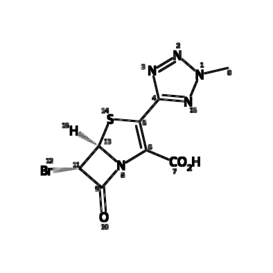 Cn1nnc(C2=C(C(=O)O)N3C(=O)[C@H](Br)[C@H]3S2)n1